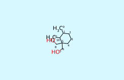 CC1CCCC(CO)(CO)C1C